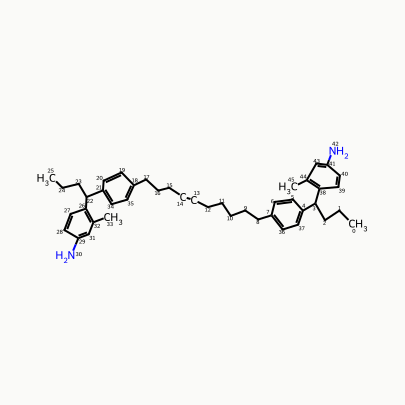 CCCC(c1ccc(CCCCCCCCCCc2ccc(C(CCC)c3ccc(N)cc3C)cc2)cc1)c1ccc(N)cc1C